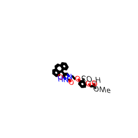 COC(=O)COc1cccc(OCCn2cc(C3c4ccccc4C=Cc4ccccc43)c(=O)[nH]c2=O)c1C(=O)O